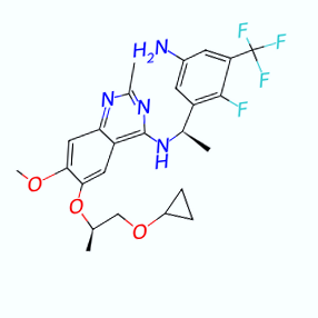 COc1cc2nc(C)nc(N[C@H](C)c3cc(N)cc(C(F)(F)F)c3F)c2cc1O[C@H](C)COC1CC1